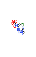 COc1cc(C(=O)N(C)CC(CCN2CCC(Nc3nc4ccccc4n3Cc3cccnc3)CC2)c2cccc(Cl)c2)cc(OC)c1OC